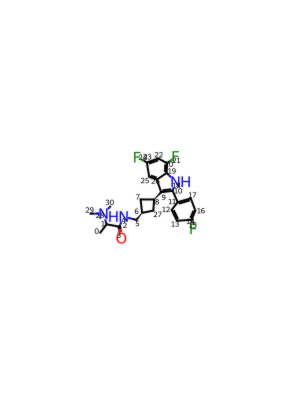 CC(C(=O)NC[C@H]1C[C@@H](c2c(-c3ccc(F)cc3)[nH]c3c(F)cc(F)cc32)C1)N(C)C